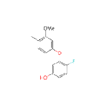 COc1cc(Oc2cc(O)ccc2F)ccc1C